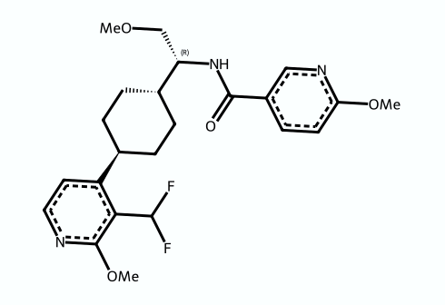 COC[C@H](NC(=O)c1ccc(OC)nc1)[C@H]1CC[C@H](c2ccnc(OC)c2C(F)F)CC1